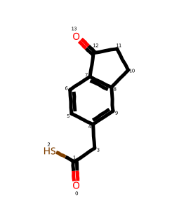 O=C(S)Cc1ccc2c(c1)CCC2=O